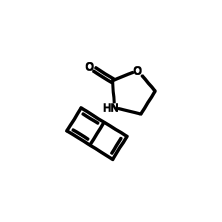 O=C1NCCO1.c1cc2ccc1-2